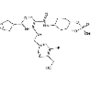 O=C(NC1CCC(OP(=O)(O)O)CC1)c1cnc(N2CC3CC3C2)nc1NCc1ccc(CO)c(F)c1